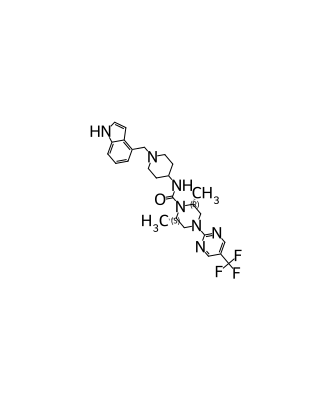 C[C@@H]1CN(c2ncc(C(F)(F)F)cn2)C[C@H](C)N1C(=O)NC1CCN(Cc2cccc3[nH]ccc23)CC1